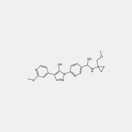 COCC1(NC(O)c2ccc(-n3ncc(-c4ccnc(OC)c4)c3O)nc2)CC1